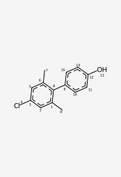 Cc1cc(Cl)cc(C)c1-c1ccc(O)cc1